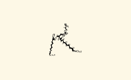 CCCCCCCCC=CCCCCCCCC(=O)OCC(CNC(=O)OCCNCC)OC(=O)CCCCCCCC=CCCCCCCCC